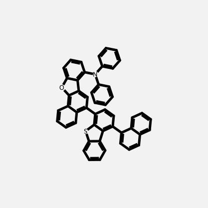 c1ccc(N(c2ccccc2)c2cccc3oc4c5ccccc5c(-c5ccc(-c6cccc7ccccc67)c6c5sc5ccccc56)cc4c23)cc1